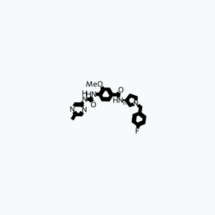 COc1cc(C(=O)N[C@H]2CCN(Cc3ccc(F)cc3)C2)ccc1NC(=O)Nc1cnc(C)cn1